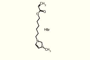 Br.C=CC(=O)OCCCCCCN1C=CN(C)C1